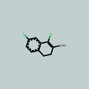 O=CC1=C(Cl)c2cc(F)ccc2CC1